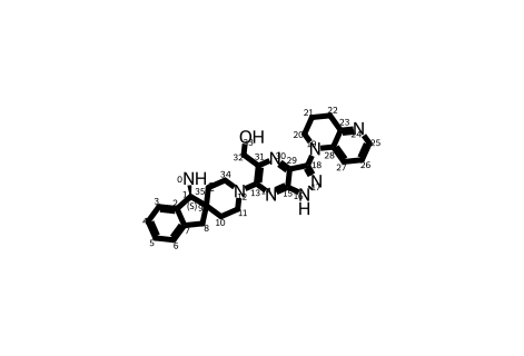 N[C@@H]1c2ccccc2CC12CCN(c1nc3[nH]nc(N4CCCc5ncccc54)c3nc1CO)CC2